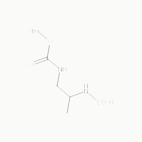 CC(CNC(=O)OC(C)(C)C)NC(=O)O